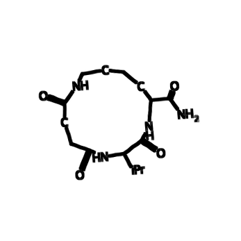 CC(C)C1NC(=O)CCC(=O)NCCCCC(C(N)=O)NC1=O